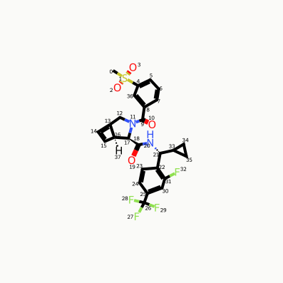 CS(=O)(=O)c1cccc(C(=O)N2CC3=C=C[C@@H]3[C@@H]2C(=O)N[C@@H](c2ccc(C(F)(F)F)cc2F)C2CC2)c1